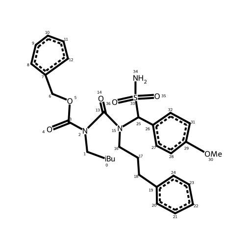 CCC(C)CN(C(=O)OCc1ccccc1)C(=O)N(CCCc1ccccc1)C(c1ccc(OC)cc1)S(N)(=O)=O